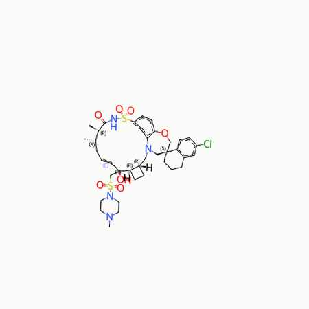 C[C@H]1C/C=C/[C@@](O)(CS(=O)(=O)N2CCN(C)CC2)[C@@H]2CC[C@H]2CN2C[C@@]3(CCCc4cc(Cl)ccc43)COc3ccc(cc32)S(=O)(=O)NC(=O)[C@@H]1C